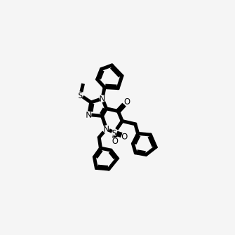 CSc1nc2c(n1-c1ccccc1)C(=O)C(Cc1ccccc1)S(=O)(=O)N2Cc1ccccc1